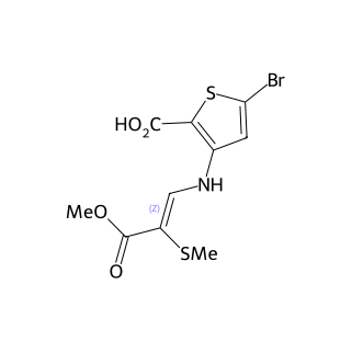 COC(=O)/C(=C/Nc1cc(Br)sc1C(=O)O)SC